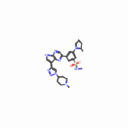 CNS(=O)(=O)c1cc(-c2cnc3[nH]cc(-c4cn(C5CCN(C)CC5)nn4)c3n2)cc(N2CCCC2C)c1